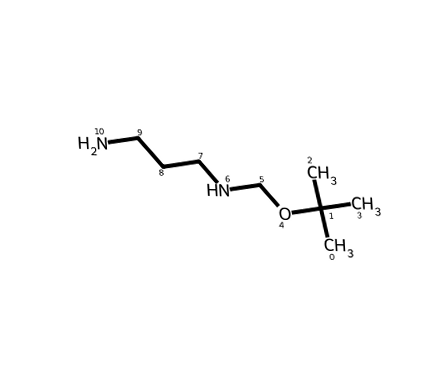 CC(C)(C)OCNCCCN